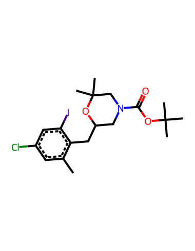 Cc1cc(Cl)cc(I)c1CC1CN(C(=O)OC(C)(C)C)CC(C)(C)O1